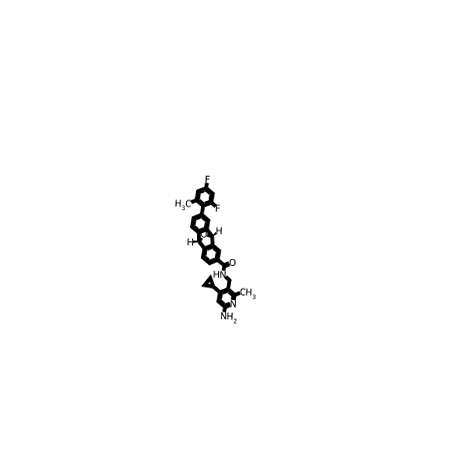 Cc1cc(F)cc(F)c1-c1ccc2c(c1)[C@H]1O[C@@H]2c2ccc(C(=O)NCc3c(C4CC4)cc(N)nc3C)cc21